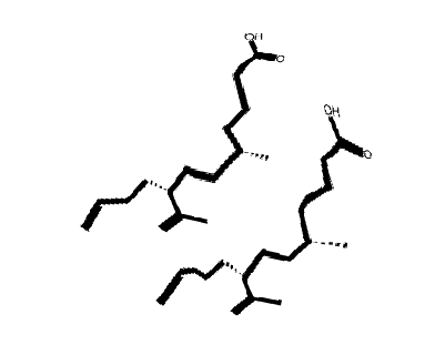 C=CCC[C@H](CC[C@@H](C)CCCC(=O)O)C(=C)C.C=CCC[C@H](CC[C@@H](C)CCCC(=O)O)C(=C)C